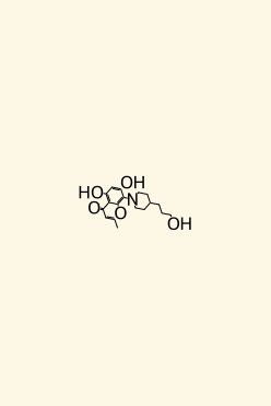 Cc1cc(=O)c2c(O)cc(O)c(N3CCC(CCCO)CC3)c2o1